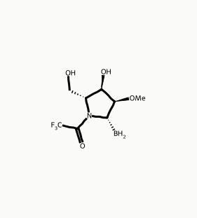 B[C@H]1[C@H](OC)[C@H](O)[C@@H](CO)N1C(=O)C(F)(F)F